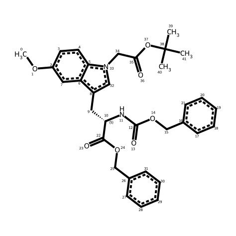 COc1ccc2c(c1)c(C[C@H](NC(=O)OCc1ccccc1)C(=O)OCc1ccccc1)cn2CC(=O)OC(C)(C)C